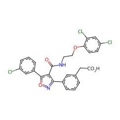 O=C(O)Cc1cccc(-c2noc(-c3cccc(Cl)c3)c2C(=O)NCCOc2ccc(Cl)cc2Cl)c1